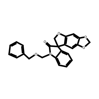 O=C1N(COCc2ccccc2)c2ccccc2C12COc1cc3c(cc12)OCO3